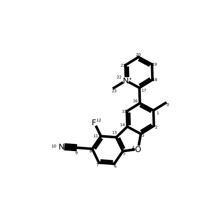 Cc1cc2oc3ccc(C#N)c(F)c3c2cc1-c1cccc[n+]1C